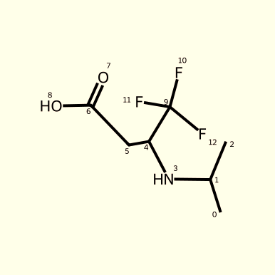 CC(C)NC(CC(=O)O)C(F)(F)F